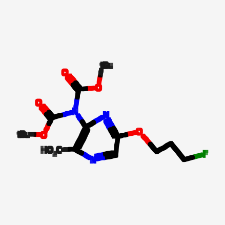 CC(C)(C)OC(=O)N(C(=O)OC(C)(C)C)c1nc(OCCCF)cnc1C(=O)O